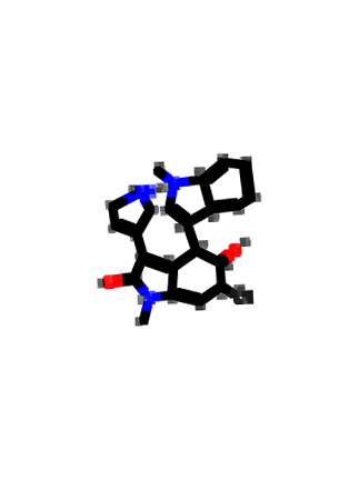 CN1C(=O)C(C2=CCNC2)=C2C1=CC(C#N)C(=O)C2c1cn(C)c2ccccc12